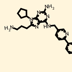 NCCCc1nc2c(NCc3ccc(-c4ccccn4)nc3)nc(N)nc2n1C1CCCC1